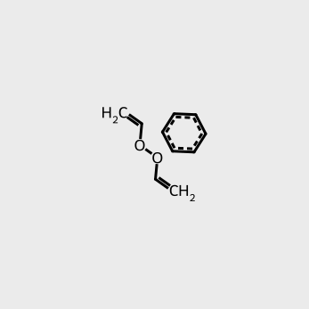 C=COOC=C.c1ccccc1